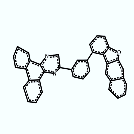 c1cc(-c2cnc3c4ccccc4c4ccccc4c3n2)cc(-c2cccc3oc4cc5ccccc5cc4c23)c1